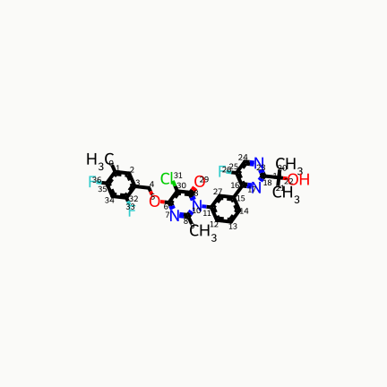 Cc1cc(COc2nc(C)n(-c3cccc(-c4nc(C(C)(C)O)ncc4F)c3)c(=O)c2Cl)c(F)cc1F